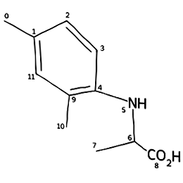 Cc1ccc(NC(C)C(=O)O)c(C)c1